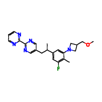 COCC1CN(c2cc(C(C)Cc3cnc(-c4ncccn4)nc3)cc(F)c2C)C1